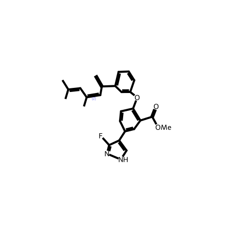 C=C(/C=C(/C)C=C(C)C)c1cccc(Oc2ccc(-c3c[nH]nc3F)cc2C(=O)OC)c1